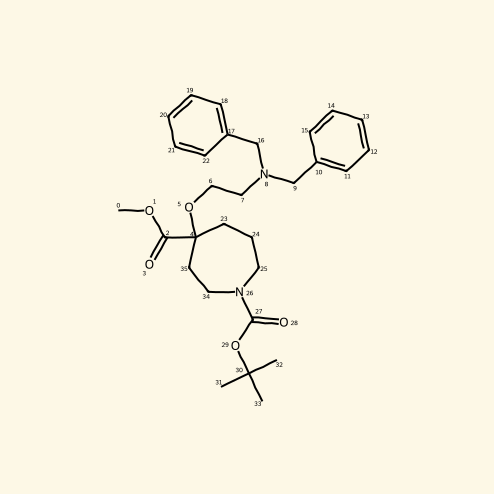 COC(=O)C1(OCCN(Cc2ccccc2)Cc2ccccc2)CCCN(C(=O)OC(C)(C)C)CC1